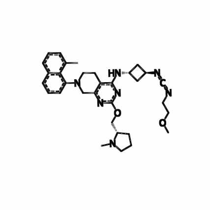 COCCN=C=N[C@H]1C[C@H](Nc2nc(OC[C@@H]3CCCN3C)nc3c2CCN(c2cccc4cccc(C)c24)C3)C1